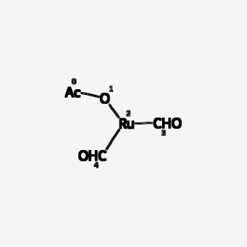 CC(=O)[O][Ru]([CH]=O)[CH]=O